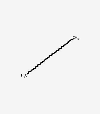 CCCCCCCCCCCCCC[CH]CCCCCCCCCCCCCCCCCCCCCCCCCCC